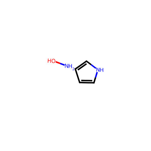 NO.c1cc[nH]c1